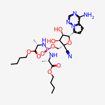 CCCCOC(=O)[C@H](C)NP(=O)(N[C@@H](C)C(=O)OCCCC)OC[C@@]1(C#N)O[C@@H](c2ccc3c(N)ncnn23)[C@H](O)[C@@H]1O